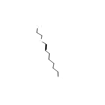 CCCCCCCCCCCC/C=C/NCCN